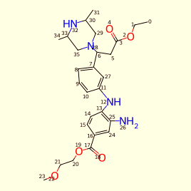 CCOC(=O)CC(c1cccc(Nc2ccc(C(=O)OCCOC)cc2N)c1)N1CC(C)NC(C)C1